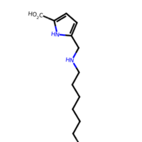 CCCCCCCCCCCCCCCCNCc1ccc(C(=O)O)[nH]1